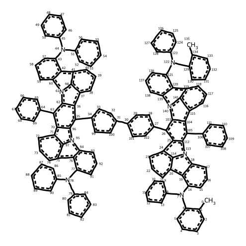 Cc1ccccc1N(c1ccccc1)c1cccc2c1c1cccc3c4c(-c5ccc(-c6ccc(-c7c8c9cccc%10c%11c(N(c%12ccccc%12)c%12ccccc%12)cccc%11n(c8c(-c8ccccc8)c8c%11cccc%12c%13c(N(c%14ccccc%14)c%14ccccc%14)cccc%13n(c78)c%12%11)c%109)cc6)cc5)c5c(c(-c6ccccc6)c4n2c13)c1cccc2c3c(N(c4ccccc4)c4ccccc4C)cccc3n5c21